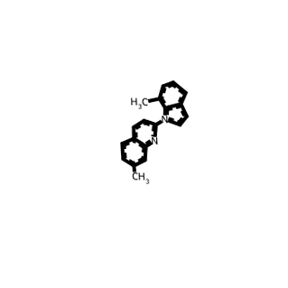 Cc1ccc2ccc(-n3ccc4cccc(C)c43)nc2c1